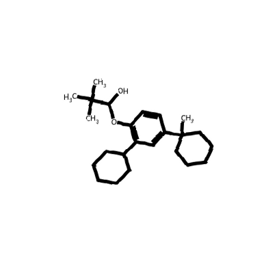 CC1(c2ccc(OC(O)C(C)(C)C)c(C3CCCCC3)c2)CCCCC1